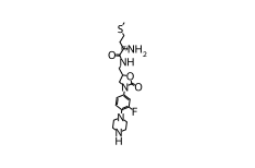 CSCC[C@@H](N)C(=O)NCC1CN(c2ccc(N3CCNCC3)c(F)c2)C(=O)O1